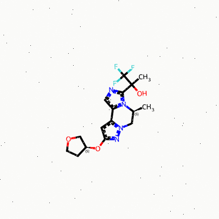 C[C@H]1Cn2nc(O[C@H]3CCOC3)cc2-c2cnc(C(C)(O)C(F)(F)F)n21